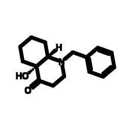 O=C1CCN(Cc2ccccc2)[C@H]2CCCC[C@]12O